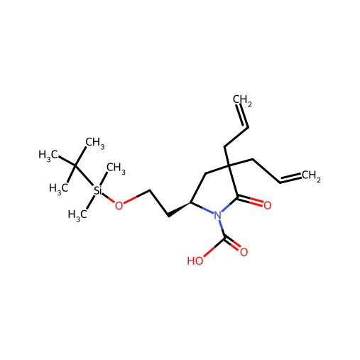 C=CCC1(CC=C)C[C@H](CCO[Si](C)(C)C(C)(C)C)N(C(=O)O)C1=O